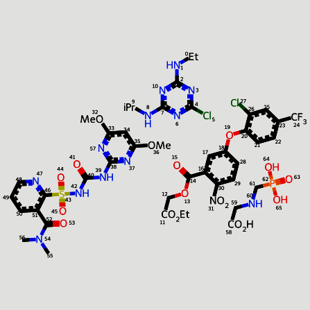 CCNc1nc(Cl)nc(NC(C)C)n1.CCOC(=O)COC(=O)c1cc(Oc2ccc(C(F)(F)F)cc2Cl)ccc1[N+](=O)[O-].COc1cc(OC)nc(NC(=O)NS(=O)(=O)c2ncccc2C(=O)N(C)C)n1.O=C(O)CNCP(=O)(O)O